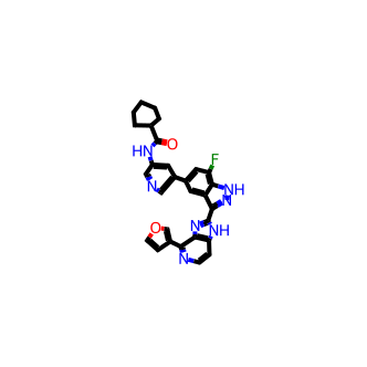 O=C(Nc1cncc(-c2cc(F)c3[nH]nc(-c4nc5c(-c6ccoc6)nccc5[nH]4)c3c2)c1)C1CCCCC1